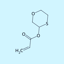 C=CC(=O)OC1COCCS1